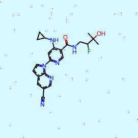 CC(C)(O)C(F)CNC(=O)c1cnc(-n2ccc3cc(C#N)cnc32)cc1NC1CC1